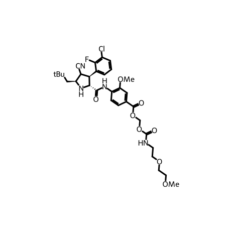 COCCOCCNC(=O)OCOC(=O)c1ccc(NC(=O)[C@@H]2N[C@@H](CC(C)(C)C)C(C#N)[C@H]2c2cccc(Cl)c2F)c(OC)c1